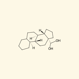 OC(O)[C@@]12CCC[C@H]1[C@@H]1CCC3CCCC[C@@H]3[C@H]1CC2